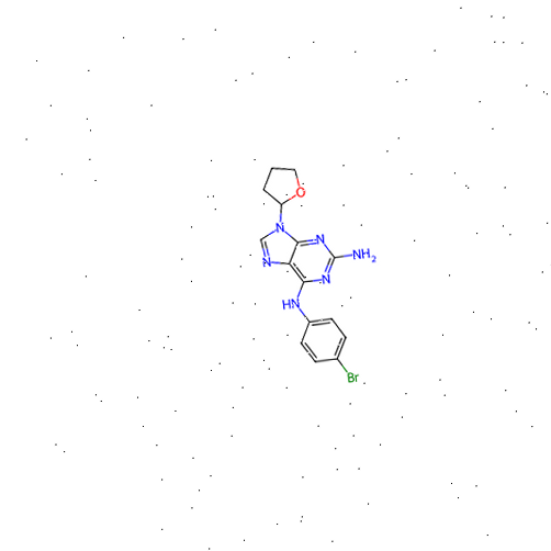 Nc1nc(Nc2ccc(Br)cc2)c2ncn(C3CCCO3)c2n1